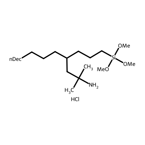 CCCCCCCCCCCCCC(CCC[Si](OC)(OC)OC)CC(C)(C)N.Cl